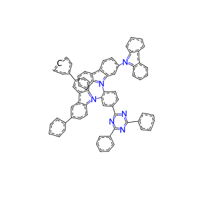 c1ccc(-c2ccc3c(c2)c2cc(-c4ccccc4)ccc2n3-c2cc(-c3nc(-c4ccccc4)nc(-c4ccccc4)n3)ccc2-n2c3ccccc3c3ccc(-n4c5ccccc5c5ccccc54)cc32)cc1